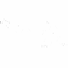 COC(=O)C1=C(C)NC(C)=C(C(=O)OC/C=C/c2ccc(Cn3cnnn3)cc2)C1c1cccc([N+](=O)[O-])c1